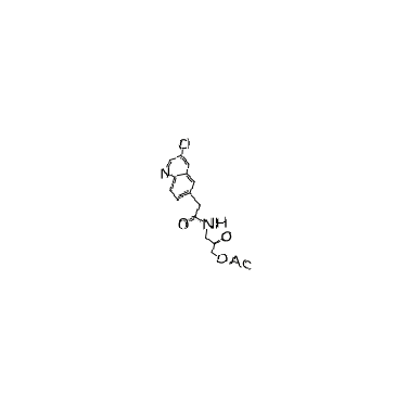 CC(=O)OCC(=O)CNC(=O)Cc1ccc2ncc(Cl)cc2c1